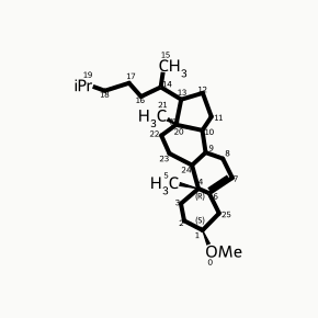 CO[C@H]1CC[C@@]2(C)C(=CCC3C4CCC(C(C)CCCC(C)C)[C@@]4(C)CCC32)C1